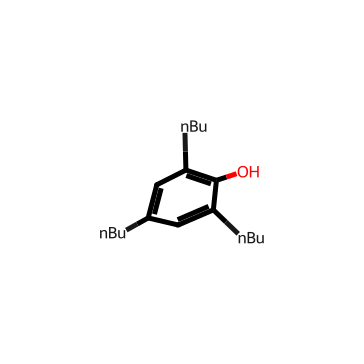 CCCCc1cc(CCCC)c(O)c(CCCC)c1